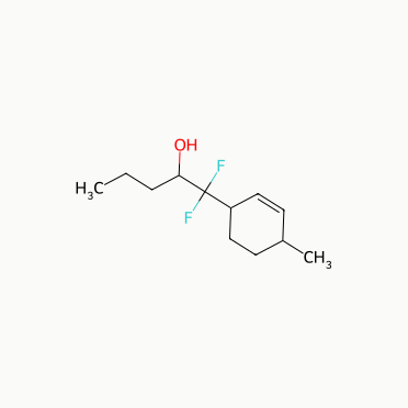 CCCC(O)C(F)(F)C1C=CC(C)CC1